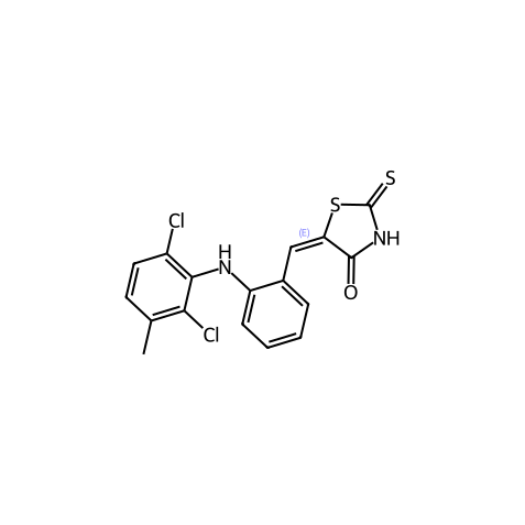 Cc1ccc(Cl)c(Nc2ccccc2/C=C2/SC(=S)NC2=O)c1Cl